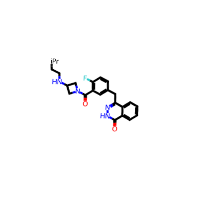 CC(C)CCNC1CN(C(=O)c2cc(Cc3n[nH]c(=O)c4ccccc34)ccc2F)C1